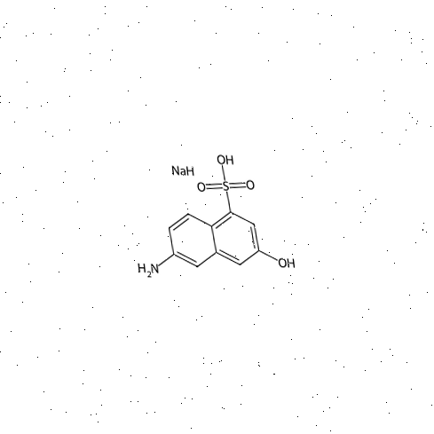 Nc1ccc2c(S(=O)(=O)O)cc(O)cc2c1.[NaH]